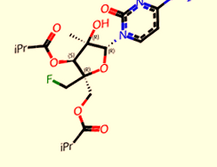 CC(C)C(=O)OC[C@@]1(CF)O[C@@H](n2ccc(N)nc2=O)[C@](C)(O)[C@@H]1OC(=O)C(C)C